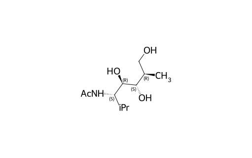 CC(=O)N[C@@H](C(C)C)[C@@H](O)[C@@H](O)[C@H](C)CO